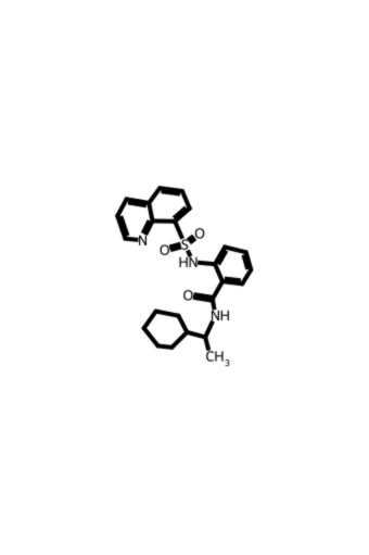 CC(NC(=O)c1ccccc1NS(=O)(=O)c1cccc2cccnc12)C1CCCCC1